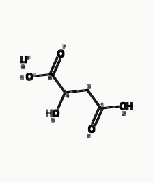 O=C(O)CC(O)C(=O)[O-].[Li+]